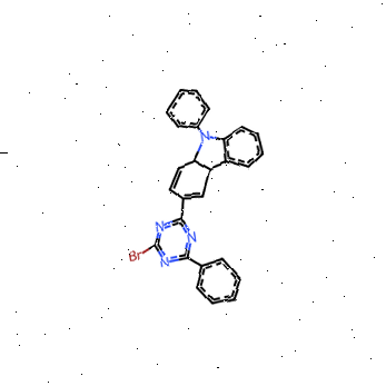 Brc1nc(C2=CC3c4ccccc4N(c4ccccc4)C3C=C2)nc(-c2ccccc2)n1